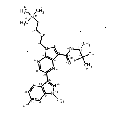 C[C@@H](NC(=O)c1cn(COCC[Si](C)(C)C)c2ncc(-c3nn(C)c4cc(F)ccc34)nc12)C(C)(F)F